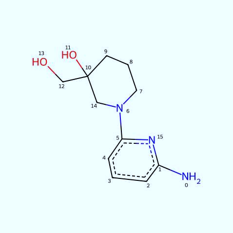 Nc1cccc(N2CCCC(O)(CO)C2)n1